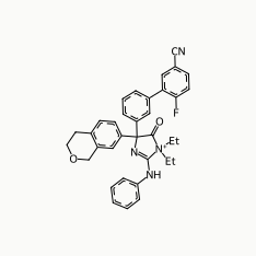 CC[N+]1(CC)C(=O)C(c2cccc(-c3cc(C#N)ccc3F)c2)(c2ccc3c(c2)COCC3)N=C1Nc1ccccc1